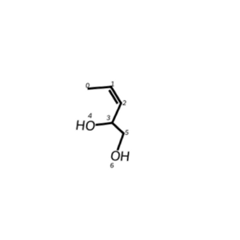 C/C=C\C(O)CO